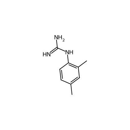 Cc1ccc(NC(=N)N)c(C)c1